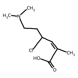 CC(=CC(Cl)CCN(C)C)C(=O)O